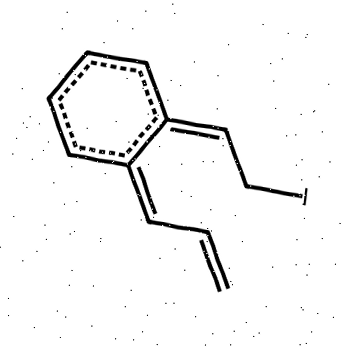 C=C/C=c1/cccc/c1=C/CI